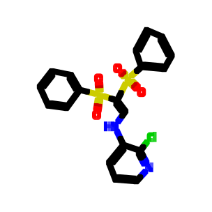 O=S(=O)(C(=CNc1cccnc1Cl)S(=O)(=O)c1ccccc1)c1ccccc1